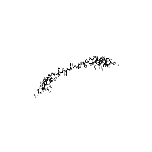 C[C@H]1CC[C@]2(OC1)O[C@H]1C[C@H]3[C@@H]4CC=C5C[C@@H](OC(=O)NCCNCCNCCNCCNC(=O)O[C@H]6CC[C@@]7(C)C(=CC[C@@H]8[C@@H]7CC[C@]7(C)C9[C@H](C[C@@H]87)O[C@@]7(CC[C@H](C)CO7)[C@H]9C)C6)CC[C@]5(C)[C@H]4CC[C@]3(C)C1[C@@H]2C